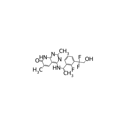 Cc1nc(N[C@H](C)c2cccc(C(F)(F)CO)c2F)c2cc(C)c(=O)[nH]c2n1